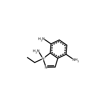 CC[N+]1(N)N=Cc2c(N)ccc(N)c21